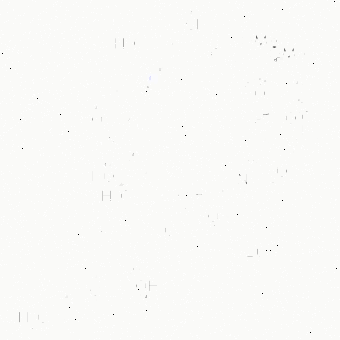 C=CCOC1CCC(C=C(C)C2OC(=O)C3CC(CC)CCN3C(=O)C(=O)C3(O)OC(C(OC)CC(C)C/C(C)=C/CC(=O)CC(O)C2C)C(OC)CC3C)CC1O